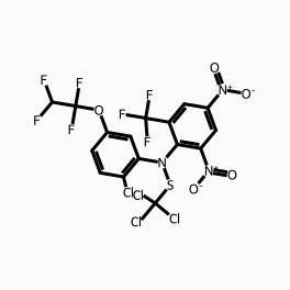 O=[N+]([O-])c1cc([N+](=O)[O-])c(N(SC(Cl)(Cl)Cl)c2cc(OC(F)(F)C(F)F)ccc2Cl)c(C(F)(F)F)c1